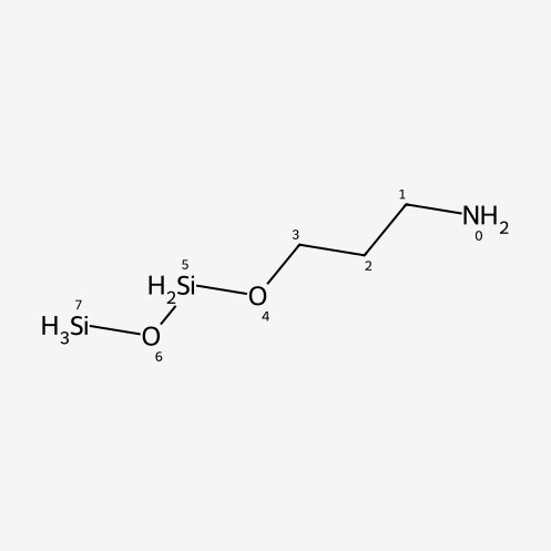 NCCCO[SiH2]O[SiH3]